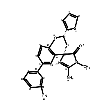 CN1C(=O)[C@@]2(C[C@@H](c3cccs3)Oc3ccc(-c4cccc(C#N)c4)cc32)N=C1N